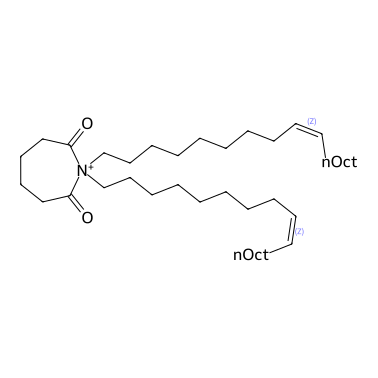 CCCCCCCC/C=C\CCCCCCCC[N+]1(CCCCCCCC/C=C\CCCCCCCC)C(=O)CCCCC1=O